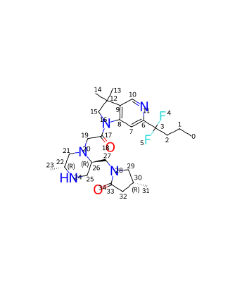 CCCC(F)(F)c1cc2c(cn1)C(C)(C)CN2C(=O)CN1C[C@@H](C)NC[C@@H]1CN1C[C@H](C)CC1=O